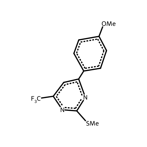 COc1ccc(-c2cc(C(F)(F)F)nc(SC)n2)cc1